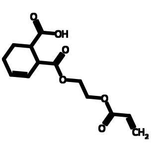 C=CC(=O)OCCOC(=O)C1C=CCCC1C(=O)O